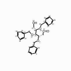 O=CC[C@H](OCc1ccccc1)[C@H](OCc1ccccc1)[C@H](CO)OCc1ccccc1